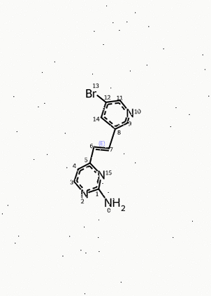 Nc1nccc(/C=C/c2cncc(Br)c2)n1